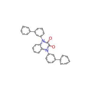 O=c1c(=O)n(-c2cccc(-c3ccccc3)c2)c2ccccc2n1-c1cccc(-c2ccccc2)c1